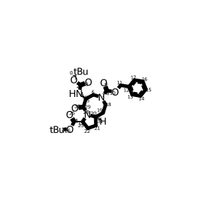 CC(C)(C)OC(=O)N[C@H]1CN(C(=O)OCc2ccccc2)CC[C@H]2CC[C@@H](C(=O)OC(C)(C)C)N2C1=O